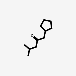 CC(C)CC(=O)CC1CCCC1